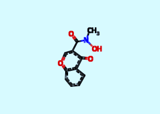 CN(O)C(=O)c1coc2ccccc2c1=O